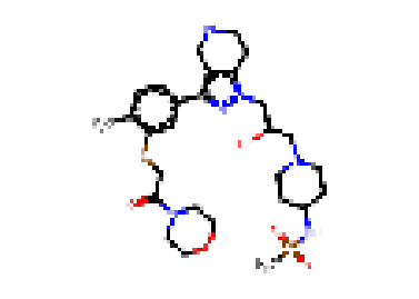 CS(=O)(=O)NC1CCN(CC(O)Cn2nc(-c3ccc(C(F)(F)F)c(SCC(=O)N4CCOCC4)c3)c3c2CCNC3)CC1